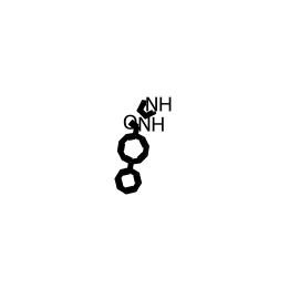 O=C(N[C@@H]1CCNC1)c1ccccc(C2=C/C=C\C=C/C=C\2)cccc1